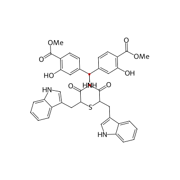 COC(=O)c1ccc(CNC(=O)C(Cc2c[nH]c3ccccc23)SC(Cc2c[nH]c3ccccc23)C(=O)NCc2ccc(C(=O)OC)c(O)c2)cc1O